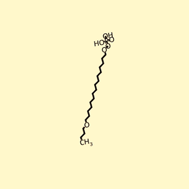 CCCCOCCCCCCCCCCCCCCCCOOP(=O)(O)O